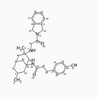 CC1CC2CC(C)(NCC(=O)N3Cc4ccccc4C3)CC(NC(=O)CCc3ccc(C#N)cc3)(C1)C2